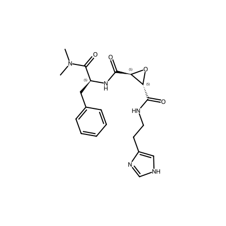 CN(C)C(=O)[C@H](Cc1ccccc1)NC(=O)[C@H]1O[C@@H]1C(=O)NCCc1c[nH]cn1